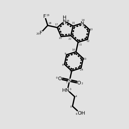 O=S(=O)(NCCO)c1ccc(-c2ccnc3[nH]c(C(F)F)cc23)cc1